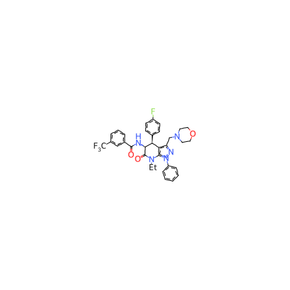 CCN1C(=O)[C@@H](NC(=O)c2cccc(C(F)(F)F)c2)[C@@H](c2ccc(F)cc2)c2c(CN3CCOCC3)nn(-c3ccccc3)c21